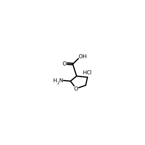 Cl.NC1OCCC1C(=O)O